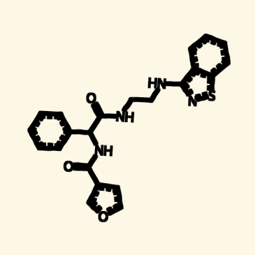 O=C(NC(C(=O)NCCNc1nsc2ccccc12)c1ccccc1)c1ccoc1